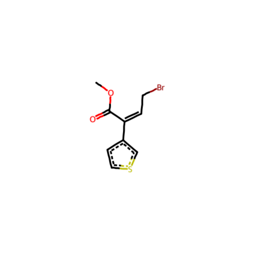 COC(=O)C(=CCBr)c1ccsc1